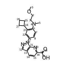 COCCN(C)c1ccc(-n2ncc3ccc(C(=O)O)nc32)cc1C1CCC1